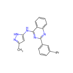 Cc1cc(Nc2nc(-c3cccc(C(C)C)c3)nc3ccccc23)[nH]n1